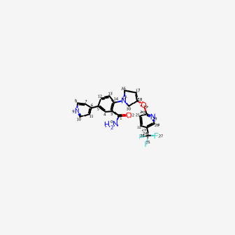 NC(=O)c1cc(-c2ccncc2)ccc1N1CCC(Oc2ccc(C(F)(F)F)cn2)C1